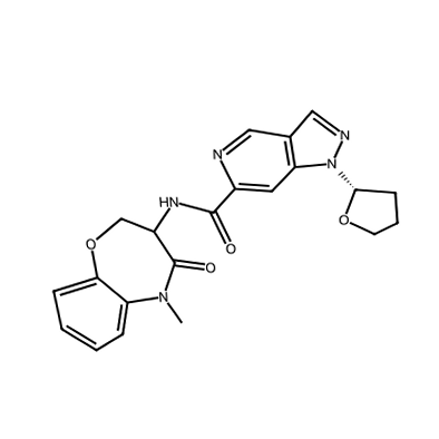 CN1C(=O)C(NC(=O)c2cc3c(cn2)cnn3[C@@H]2CCCO2)COc2ccccc21